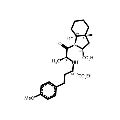 CCOC(=O)[C@H](CCc1ccc(OC)cc1)N[C@@H](C)C(=O)N1[C@H](C(=O)O)C[C@H]2CCCC[C@@H]21